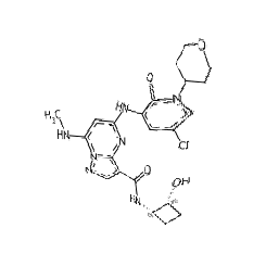 CNc1cc(Nc2cc(Cl)cn(C3CCOCC3)c2=O)nc2c(C(=O)N[C@H]3CC[C@H]3O)cnn12